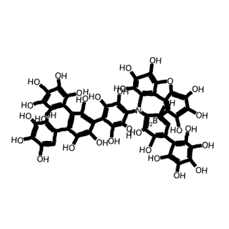 Bc1c(O)c(O)c(O)c2oc3c(O)c(O)c(O)c(N(c4c(O)cc(-c5c(O)c(O)c(O)c(O)c5O)c(O)c4O)c4c(O)c(O)c(-c5c(O)c(O)c(-c6cc(O)c(O)c(O)c6O)c(-c6c(O)c(O)c(O)c(O)c6O)c5O)c(O)c4O)c3c12